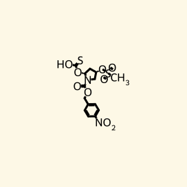 CS(=O)(=O)O[C@@H]1C[C@H](OC(O)=S)N(C(=O)OCc2ccc([N+](=O)[O-])cc2)C1